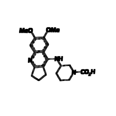 COc1cc2nc3c(c(NC4CCCN(C(=O)O)C4)c2cc1OC)CCC3